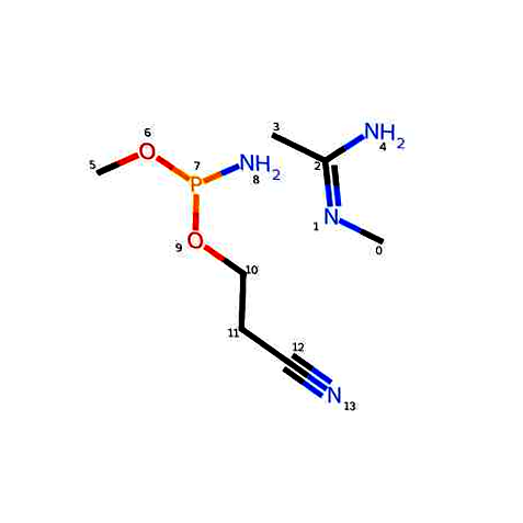 CN=C(C)N.COP(N)OCCC#N